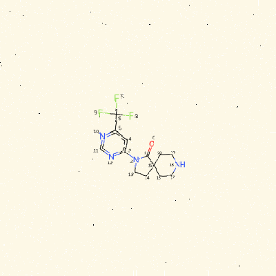 O=C1N(c2cc(C(F)(F)F)ncn2)CCC12CCNCC2